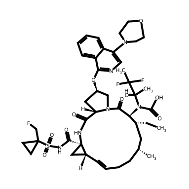 CC[C@@H]1C[C@H](C)CC/C=C\[C@@H]2C[C@@]2(C(=O)NS(=O)(=O)C2(CF)CC2)NC(=O)[C@@H]2C[C@@H](Oc3ncc(N4CCOCC4)c4ccccc34)CN2C(=O)[C@H]1N(C(=O)O)C(C)(C)C(C)(F)F